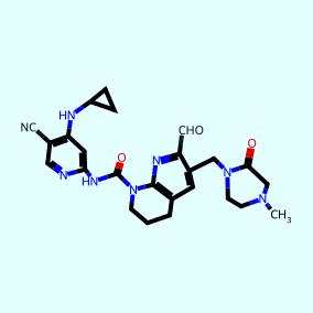 CN1CCN(Cc2cc3c(nc2C=O)N(C(=O)Nc2cc(NC4CC4)c(C#N)cn2)CCC3)C(=O)C1